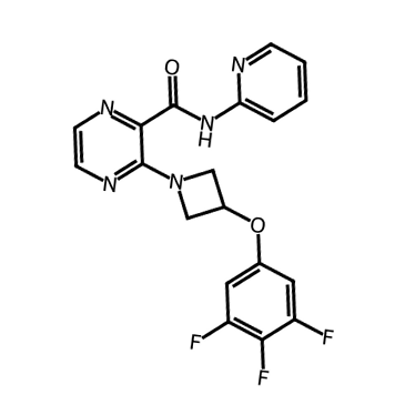 O=C(Nc1ccccn1)c1nccnc1N1CC(Oc2cc(F)c(F)c(F)c2)C1